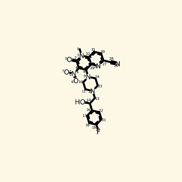 Cn1c(=O)c([N+](=O)[O-])c(N2CCN(CC(O)c3ccc(F)cc3)CC2)c2nc(C#N)ccc21